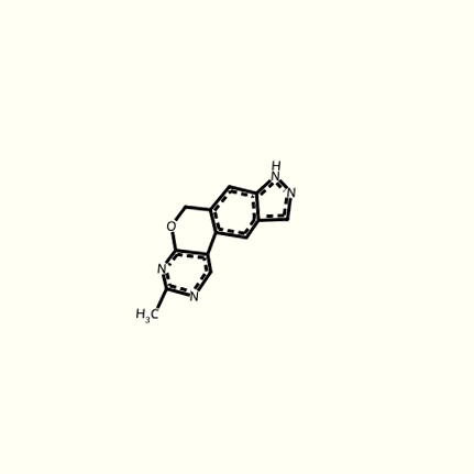 Cc1ncc2c(n1)OCc1cc3[nH]ncc3cc1-2